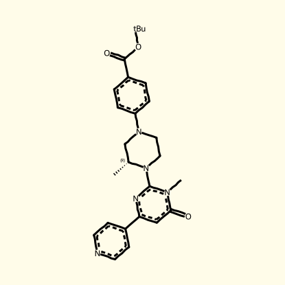 C[C@@H]1CN(c2ccc(C(=O)OC(C)(C)C)cc2)CCN1c1nc(-c2ccncc2)cc(=O)n1C